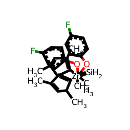 CC1=CC(C)[C]([Zr]([CH3])([CH3])(=[SiH2])([O]c2ccc(F)cc2)([O]c2ccc(F)cc2)[C]2=C(C)C=C(C)C2)=C1